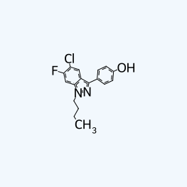 CCCCn1nc(-c2ccc(O)cc2)c2cc(Cl)c(F)cc21